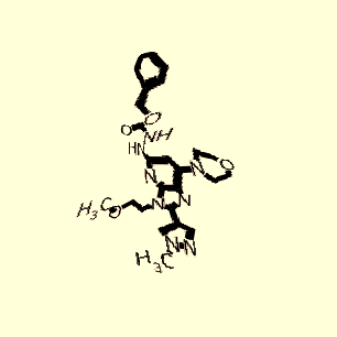 COCCn1c(-c2cnn(C)c2)nc2c(N3CCOCC3)cc(NNC(=O)OCc3ccccc3)nc21